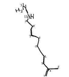 C=C(C)CCCCCCCNN